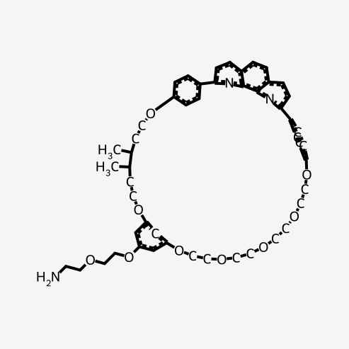 CC1CCOc2ccc(cc2)-c2ccc3ccc4ccc(nc4c3n2)-c2ccc(cc2)OCCOCCOCCOCCOc2cc(OCCOCCN)cc(c2)OCCC1C